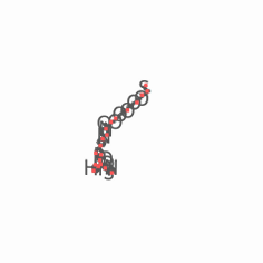 CSC(C)CCOCCOCCOCCOCCOCCC(=O)N1CCN(c2ccc(-c3ccc4c(c3)C(=O)N(C(C(=O)Nc3nccs3)c3ccccc3)C4)cc2)CC1